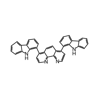 c1ccc2c(c1)[nH]c1c(-c3ccnc4c3ccc3c(-c5cccc6c5[nH]c5ccccc56)ccnc34)cccc12